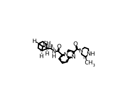 C[C@H]1CN(C(=O)c2cn3c(C(=O)NC[C@@H]4CC[C@H]5C[C@H]4C5(C)C)cccc3n2)CCN1